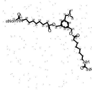 CCCCCCCCCC(=O)NCCCCCCCC(=O)OCc1cc(COC(=O)CCCCCCCNC(=O)CCCCCCCCC)cc(CN(C)C)c1